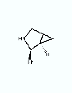 CC[C@H]1NCC2C[C@H]21